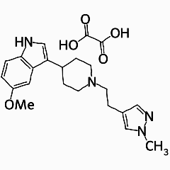 COc1ccc2[nH]cc(C3CCN(CCc4cnn(C)c4)CC3)c2c1.O=C(O)C(=O)O